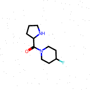 O=C(C1CCCN1)N1CCC(F)CC1